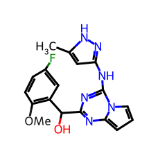 COc1ccc(F)cc1C(O)c1nc(Nc2cc(C)[nH]n2)n2cccc2n1